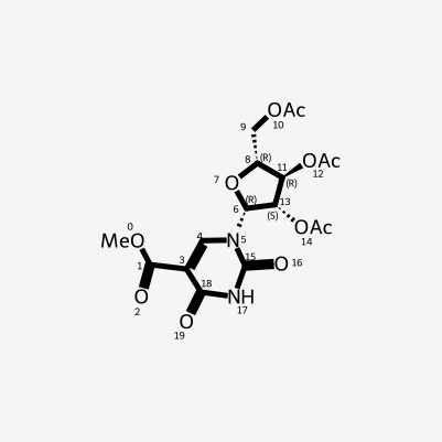 COC(=O)c1cn([C@@H]2O[C@H](COC(C)=O)[C@@H](OC(C)=O)[C@@H]2OC(C)=O)c(=O)[nH]c1=O